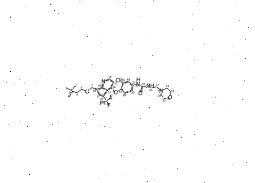 CS(C)(C)CCOCn1cc(C(F)(F)F)c2c(Oc3ccc(NC(=O)NCCN4CCOCC4)cc3Cl)ccnc21